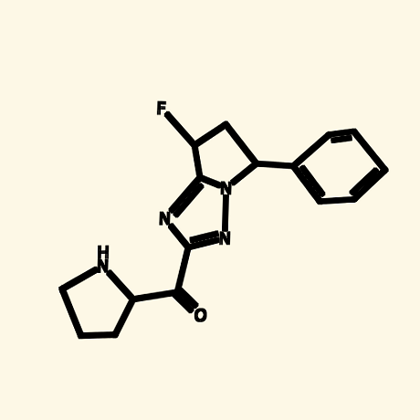 O=C(c1nc2n(n1)C(c1ccccc1)CC2F)C1CCCN1